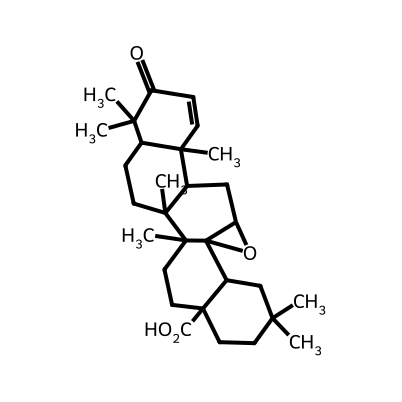 CC1(C)CCC2(C(=O)O)CCC3(C)C4(C)CCC5C(C)(C)C(=O)C=CC5(C)C4CC4OC43C2C1